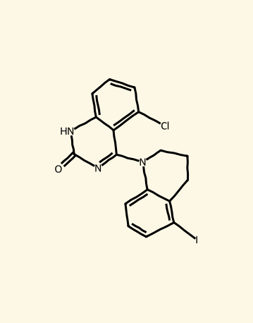 O=c1nc(N2CCCc3c(I)cccc32)c2c(Cl)cccc2[nH]1